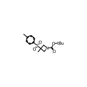 Cc1ccc(S(=O)(=O)C2(C)CN(C(=O)OC(C)(C)C)C2)cc1